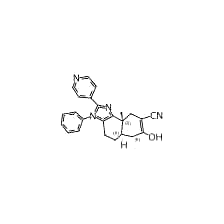 C[C@H]1C(O)=C(C#N)C[C@@]2(C)c3nc(-c4ccncc4)n(-c4ccccc4)c3CC[C@H]12